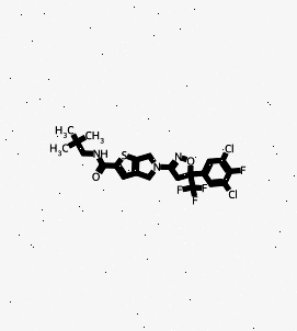 CC(C)(C)CNC(=O)c1cc2c(s1)CN(C1=NOC(c3cc(Cl)c(F)c(Cl)c3)(C(F)(F)F)C1)C2